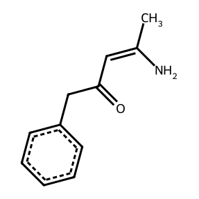 C/C(N)=C/C(=O)Cc1ccccc1